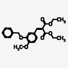 CCOC(=O)C(=Cc1ccc(OC)c(OCc2ccccc2)c1)C(=O)OCC